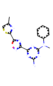 Cc1csc(-c2nc(-c3nc(N)nc(N(C)c4ccccc4)n3)no2)n1